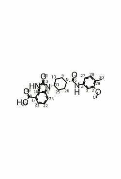 COc1cc(NC(=O)[C@H]2CC[C@@H](n3c(=O)[nH]c4c(C(=O)O)cccc43)CC2)ccc1C